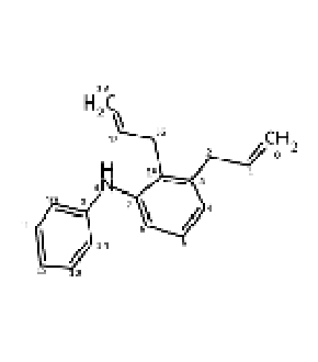 C=CCc1cccc(Nc2ccccc2)c1CC=C